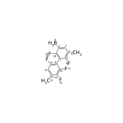 Bc1cc(C)c(F)c(-c2c(F)cc(C)c(F)c2F)c1F